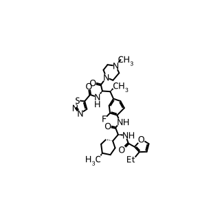 CCc1ccoc1C(=O)N[C@H](C(=O)Nc1ccc([C@H](C)[C@@H](NC(=O)c2cnns2)C(=O)N2CCN(C)CC2)cc1F)[C@H]1CC[C@H](C)CC1